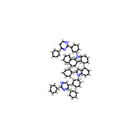 c1ccc(-c2ccnc(-c3cccc(-n4c5ccccc5c5cc(-c6ccccc6-c6cc7ccccc7n6-c6cccc(-c7cnc(-c8ccccc8)nc7-c7ccccc7)c6)c6ccccc6c54)c3)n2)cc1